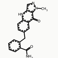 Cn1ncc2[nH]c3ccc(Cc4ccccc4C(N)=O)cc3c(=O)c21